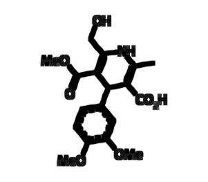 COC(=O)C1=C(CO)NC(C)=C(C(=O)O)C1c1ccc(OC)c(OC)c1